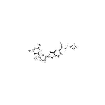 O=C(NCC1CCC1)c1cc2c(cn1)CN(C1=NOC(c3cc(Cl)cc(Cl)c3)(C(F)(F)F)C1)C2